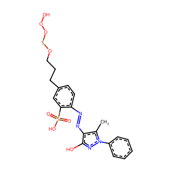 Cc1c(/N=N/c2ccc(CCCOSOOO)cc2S(=O)(=O)O)c(O)nn1-c1ccccc1